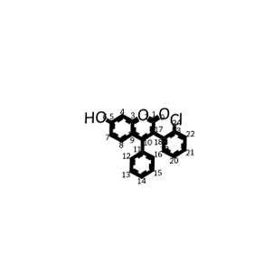 O=c1oc2cc(O)ccc2c(-c2ccccc2)c1-c1ccccc1Cl